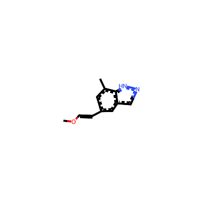 COC=Cc1cc(C)c2[nH]ncc2c1